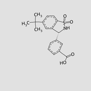 CC(C)(C)c1ccc2c(c1)[C@@H](c1cccc(C(=O)O)c1)NS2(=O)=O